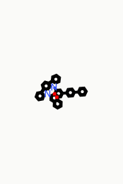 c1ccc(-c2ccc(-c3cccc(-n4c5ccccc5c5ccc6c7ccccc7n(-c7ccc8ccccc8c7)c6c54)c3)cc2)cc1